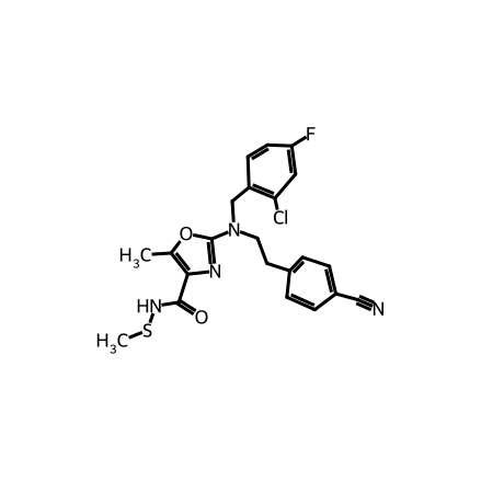 CSNC(=O)c1nc(N(CCc2ccc(C#N)cc2)Cc2ccc(F)cc2Cl)oc1C